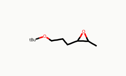 CC1OC1CCCOC(C)(C)C